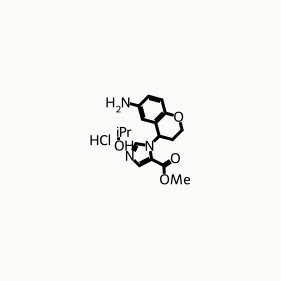 CC(C)O.COC(=O)c1cncn1C1CCOc2ccc(N)cc21.Cl